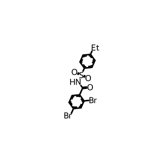 CCc1ccc(S(=O)(=O)NC(=O)c2ccc(Br)cc2Br)cc1